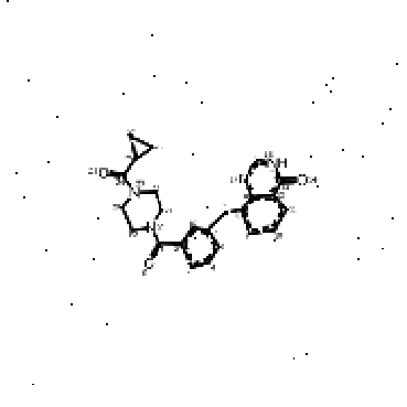 O=C(c1cccc(Cc2cccc3c(=O)[nH]cnc23)c1)N1CCN(C(=O)C2CC2)CC1